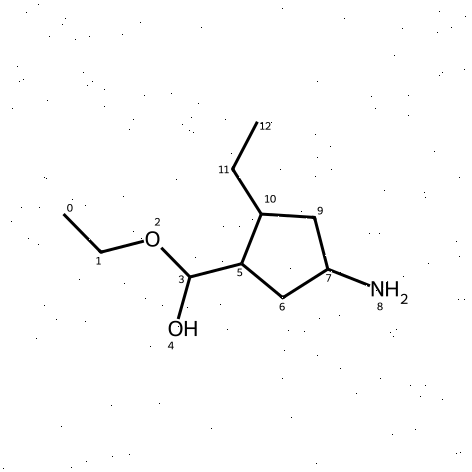 CCOC(O)C1CC(N)CC1CC